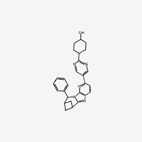 OC1CCN(c2ncc(-c3ccc4nc5n(c4n3)C(c3ccccc3)C3CC5C3)cn2)CC1